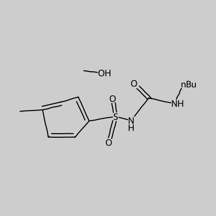 CCCCNC(=O)NS(=O)(=O)c1ccc(C)cc1.CO